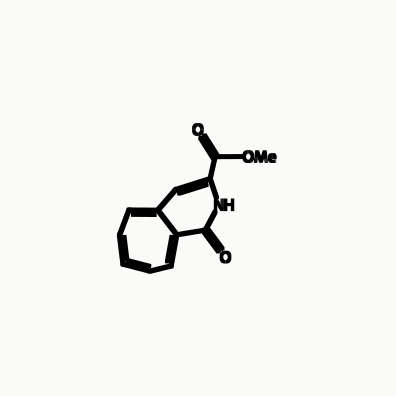 COC(=O)c1cc2c(c(=O)[nH]1)=CC=C=CC=2